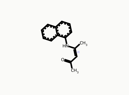 CC(=O)/C=C(/C)Nc1cccc2ccccc12